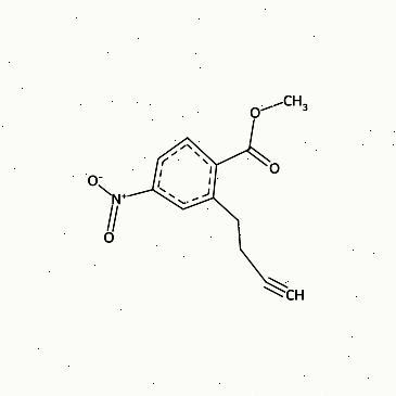 C#CCCc1cc([N+](=O)[O-])ccc1C(=O)OC